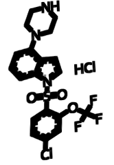 Cl.O=S(=O)(c1ccc(Cl)cc1OC(F)(F)F)n1ccc2c(N3CCNCC3)cccc21